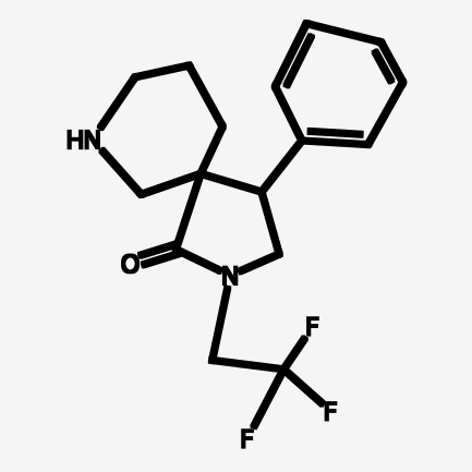 O=C1N(CC(F)(F)F)CC(c2ccccc2)C12CCCNC2